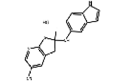 Cl.N#Cc1cnc2c(c1)CC(I)(Nc1ccc3[nH]ccc3c1)S2